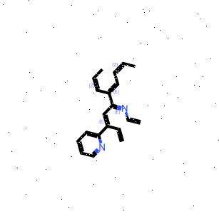 C=C/N=C(\C=C(/C=C)c1ccccn1)C(/C=C\C)=C/C=C\C